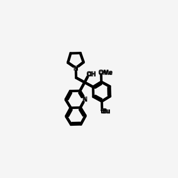 COc1ccc(C(C)(C)C)cc1C(O)(CN1CCCC1)c1ccc2ccccc2n1